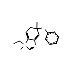 CC[N+]1(C)C=NC2=CC(C)(Sc3ccccc3)CC=C21